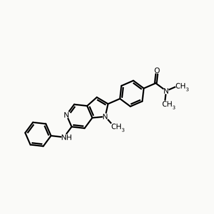 CN(C)C(=O)c1ccc(-c2cc3cnc(Nc4ccccc4)cc3n2C)cc1